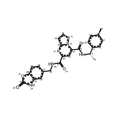 Cc1ccc([C@H](C)NC(=O)c2cc(C(=O)NCc3ccc4oc(=O)[nH]c4c3)nc3ccnn23)cc1